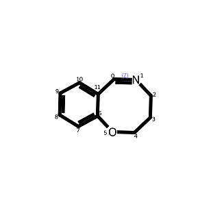 C1=N\CCCOc2ccccc2/1